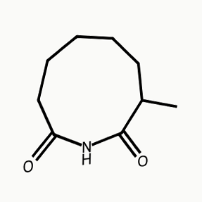 CC1CCCCCC(=O)NC1=O